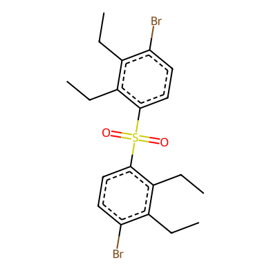 CCc1c(Br)ccc(S(=O)(=O)c2ccc(Br)c(CC)c2CC)c1CC